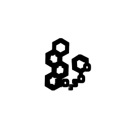 O=S(=O)(O)OC1C=CC=CO1.c1ccc2c(c1)ccc1c3c(ccc12)CCCC3